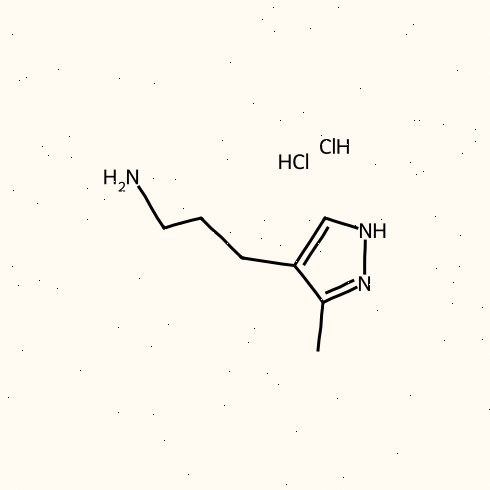 Cc1n[nH]cc1CCCN.Cl.Cl